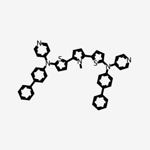 Cn1c(-c2ccc(N(c3ccncc3)c3ccc(-c4ccccc4)cc3)s2)ccc1-c1ccc(N(c2ccncc2)c2ccc(-c3ccccc3)cc2)s1